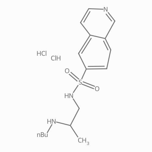 CCCCNC(C)CNS(=O)(=O)c1ccc2cnccc2c1.Cl.Cl